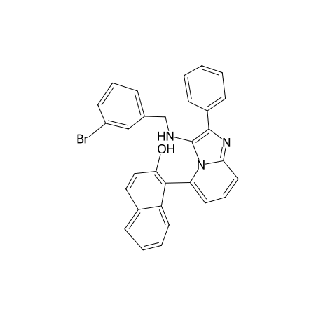 Oc1ccc2ccccc2c1-c1cccc2nc(-c3ccccc3)c(NCc3cccc(Br)c3)n12